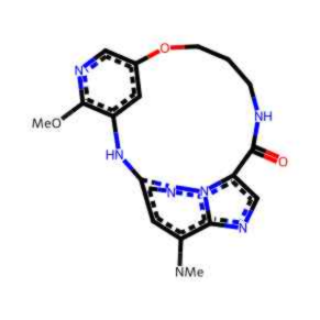 CNc1cc2nn3c(cnc13)C(=O)NCCCOc1cnc(OC)c(c1)N2